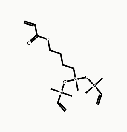 C=CC(=O)OCCCC[Si](C)(O[Si](C)(C)C=C)O[Si](C)(C)C=C